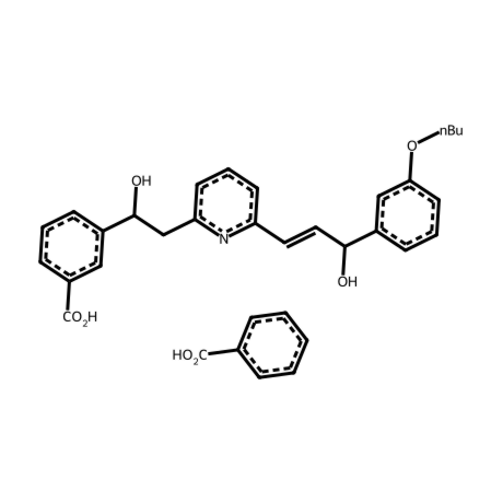 CCCCOc1cccc(C(O)C=Cc2cccc(CC(O)c3cccc(C(=O)O)c3)n2)c1.O=C(O)c1ccccc1